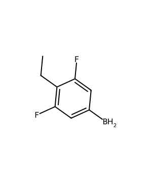 Bc1cc(F)c(CC)c(F)c1